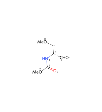 COC[C@H]([C]=O)NC(=O)OC